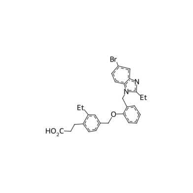 CCc1cc(COc2ccccc2Cn2c(CC)nc3cc(Br)ccc32)ccc1CCC(=O)O